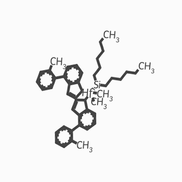 CCCCCC[Si](CCCCCC)=[Hf]([CH3])([CH3])([CH]1C=Cc2c(-c3ccccc3C)cccc21)[CH]1C=Cc2c(-c3ccccc3C)cccc21